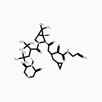 C=CCNC(=O)C(=O)C(CC(=O)[C@@H]1[C@@H]2C(CN1C(=O)C([C@H](CN1C(=O)COCC1=O)C(C)(C)C)C(C)(C)C)C2(C)C)CC1CC1